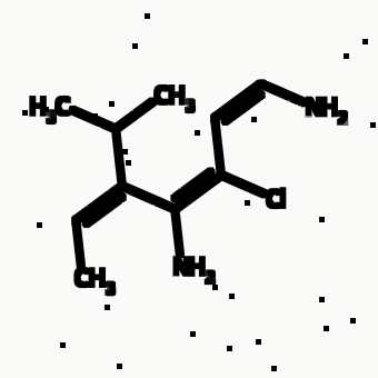 C\C=C(/C(N)=C(Cl)\C=C/N)C(C)C